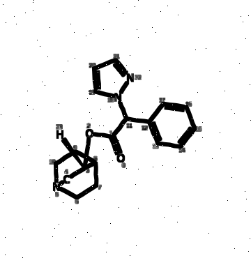 O=C(O[C@H]1CN2CCC1CC2)C(c1ccccc1)n1cccn1